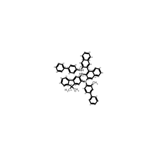 Cc1cc(-c2ccccc2)ccc1N1c2cc3c(cc2Bc2c1cc1ccccc1c2-c1cc2ccccc2cc1Nc1ccc(-c2ccccc2)cc1)-c1ccccc1C3(C)C